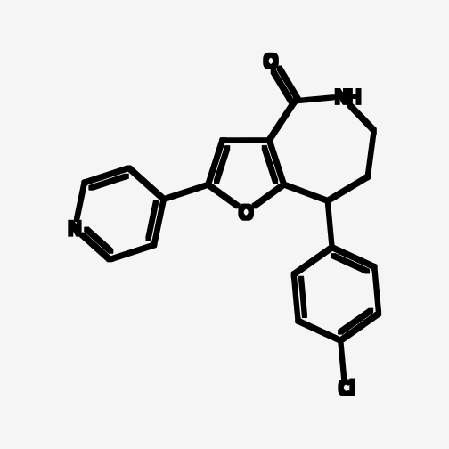 O=C1NCCC(c2ccc(Cl)cc2)c2oc(-c3ccncc3)cc21